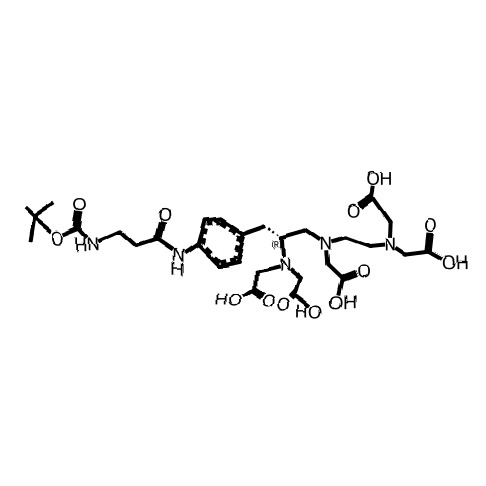 CC(C)(C)OC(=O)NCCC(=O)Nc1ccc(C[C@H](CN(CCN(CC(=O)O)CC(=O)O)CC(=O)O)N(CC(=O)O)CC(=O)O)cc1